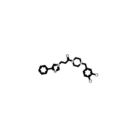 O=C(CCn1cnc(-c2ccccc2)c1)N1CCN(Cc2ccc(Cl)c(Cl)c2)CC1